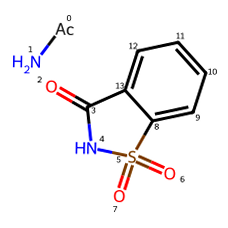 CC(N)=O.O=C1NS(=O)(=O)c2ccccc21